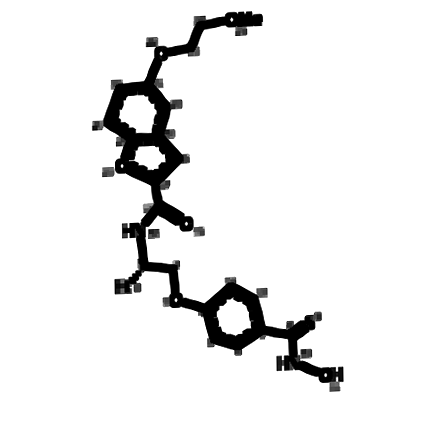 CC[C@@H](COc1ccc(C(=S)NO)cc1)NC(=O)c1cc2cc(OCCOC)ccc2o1